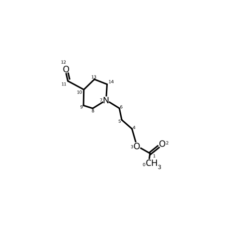 CC(=O)OCCCN1CCC(C=O)CC1